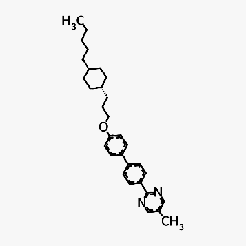 CCCCC[C@H]1CC[C@H](CCCOc2ccc(-c3ccc(-c4ncc(C)cn4)cc3)cc2)CC1